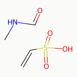 C=CS(=O)(=O)O.CNC=O